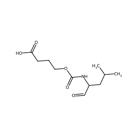 CC(C)CC(C=O)NC(=O)OCCCC(=O)O